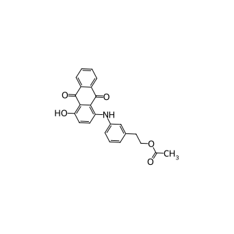 CC(=O)OCCc1cccc(Nc2ccc(O)c3c2C(=O)c2ccccc2C3=O)c1